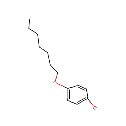 CCCCCCCOc1ccc([O])cc1